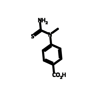 CN(C(N)=S)c1ccc(C(=O)O)cc1